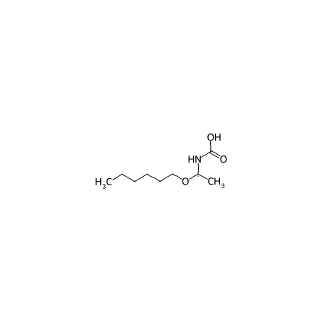 CCCCCCO[C](C)NC(=O)O